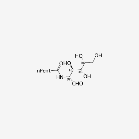 CCCCCC(=O)N[C@@H](C=O)[C@@H](O)[C@@H](O)[C@H](O)CO